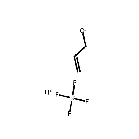 C=CC[O].F[B-](F)(F)F.[H+]